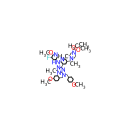 COc1ccc(CN(Cc2ccc(OC)cc2)c2nc(C)nc(-c3cc([C@H](C)N4CCN(C(=O)OC(C)(C)C)C[C@H]4C)cnc3Nc3cnc(OC)c(F)c3)n2)cc1